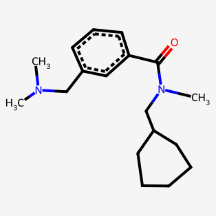 CN(C)Cc1cccc(C(=O)N(C)CC2CCCCC2)c1